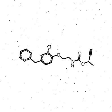 C#CC(C)OC(=O)NCCOc1ccc(Cc2ccccc2)cc1Cl